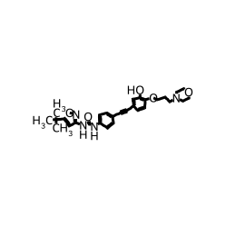 CC(C)(C)c1cc(NC(=O)Nc2ccc(C#Cc3ccc(OCCCN4CCOCC4)c(O)c3)cc2)no1